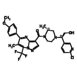 COc1ccc(-c2nc3c(C(=O)N4CCN([C@@H](CO)c5ccc(Cl)nc5)C[C@H]4C)cnn3c(C(F)(F)F)c2C)cc1